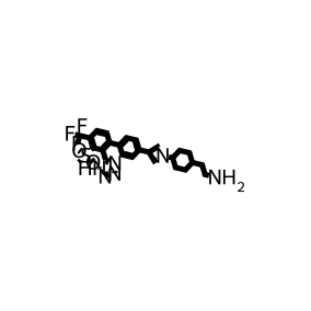 CS(=O)(=O)c1c(C(F)(F)F)ccc(-c2ccc(C3CN(C4CCC(CCN)CC4)C3)cc2)c1-c1nnn[nH]1